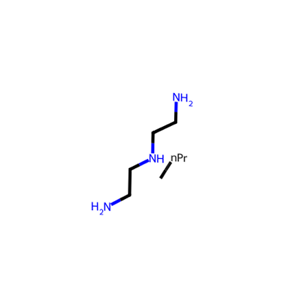 CCCC.NCCNCCN